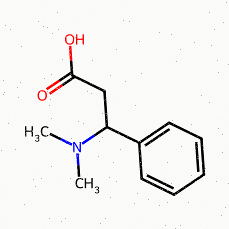 CN(C)C(CC(=O)O)c1ccccc1